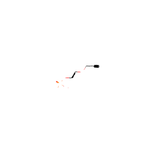 C#CCOC=COP(=O)(O)O